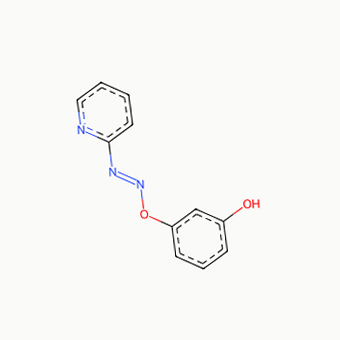 Oc1cccc(ON=Nc2ccccn2)c1